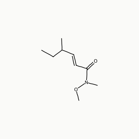 CCC(C)/C=C/C(=O)N(C)OC